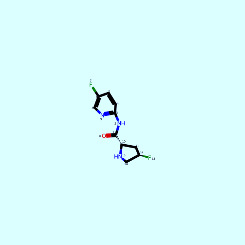 O=C(Nc1ccc(F)cn1)[C@@H]1C[C@@H](F)CN1